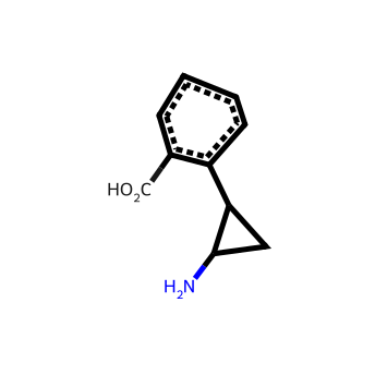 NC1CC1c1ccccc1C(=O)O